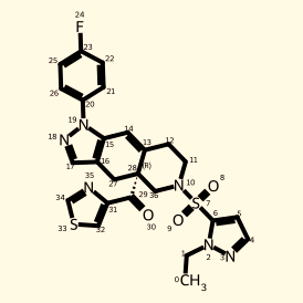 CCn1nccc1S(=O)(=O)N1CCC2=Cc3c(cnn3-c3ccc(F)cc3)C[C@]2(C(=O)c2cscn2)C1